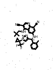 Cc1ccccc1[C@H](Nc1cc(C#N)c2ncc(C#N)c(NCC(C)(C)C)c2c1)c1cn(C2(C(F)(F)F)CC2)nn1